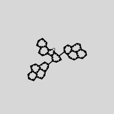 c1ccc2c(c1)ccc1c2oc2c(-c3ccc4ccc5cccc6ccc3c4c56)ccc(-c3cc4ccc5cccc6ccc(c3)c4c56)c21